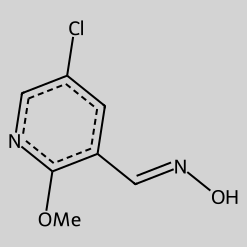 COc1ncc(Cl)cc1C=NO